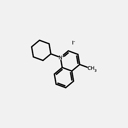 Cc1cc[n+](C2CCCCC2)c2ccccc12.[I-]